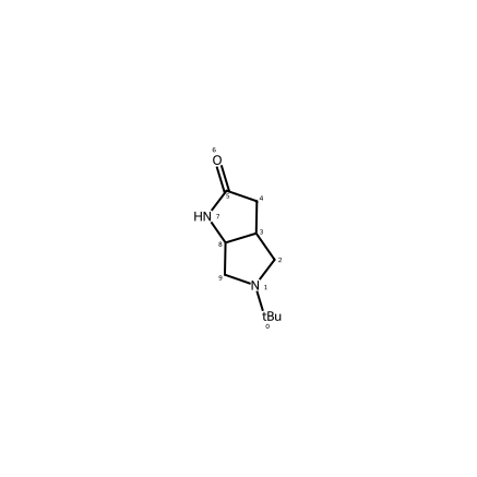 CC(C)(C)N1CC2CC(=O)NC2C1